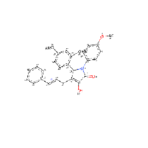 CCOc1ccc(N2C(=O)C(O)=C(C/C=C/c3ccccc3)C2c2ccc(OC)cc2OC)cc1